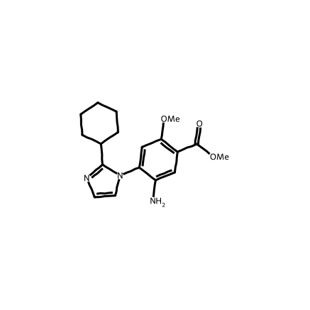 COC(=O)c1cc(N)c(-n2ccnc2C2CCCCC2)cc1OC